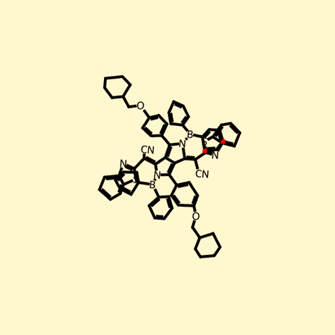 N#C/C(c1nc2ccccc2s1)=c1\c2c(-c3ccc(OCC4CCCCC4)cc3)n(B(c3ccccc3)c3ccccc3)/c(=C(/C#N)c3nc4ccccc4s3)c2c(-c2ccc(OCC3CCCCC3)cc2)n1B(c1ccccc1)c1ccccc1